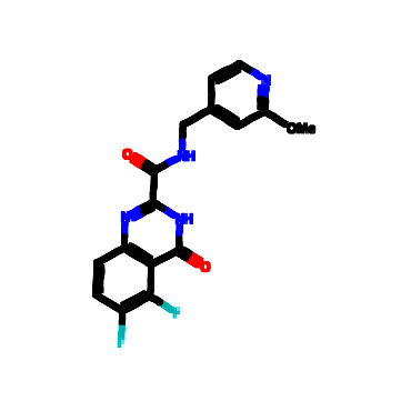 COc1cc(CNC(=O)c2nc3ccc(F)c(F)c3c(=O)[nH]2)ccn1